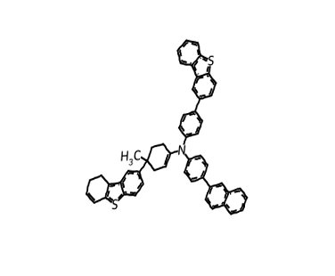 CC1(c2ccc3sc4c(c3c2)CCC=C4)CC=C(N(c2ccc(-c3ccc4ccccc4c3)cc2)c2ccc(-c3ccc4sc5ccccc5c4c3)cc2)CC1